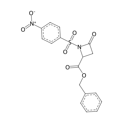 O=C(OCc1ccccc1)C1CC(=O)N1S(=O)(=O)c1ccc([N+](=O)[O-])cc1